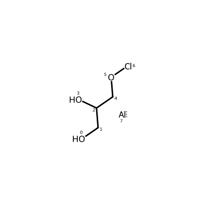 OCC(O)COCl.[Al]